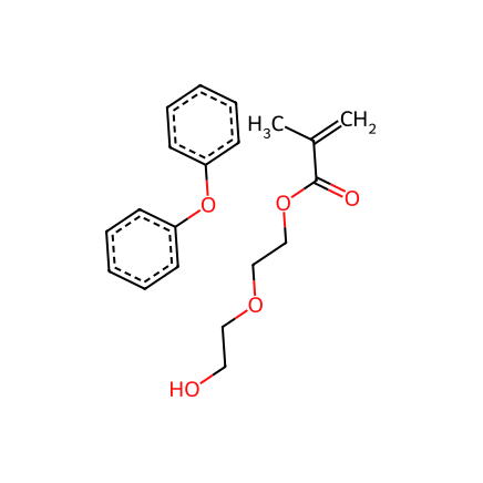 C=C(C)C(=O)OCCOCCO.c1ccc(Oc2ccccc2)cc1